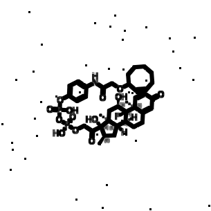 C[C@@H]1C[C@H]2[C@@H]3CCC4=CC(=O)C=C[C@]4(C)[C@@]3(F)[C@@H](O)C[C@]2(C)[C@@]1(O)C(=O)COP(=O)(O)OP(=O)(O)Oc1ccc(NC(=O)COC2C#CCCCCC2)cc1